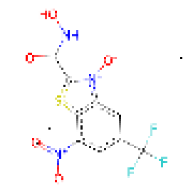 O=C(NO)c1sc2c([N+](=O)[O-])cc(C(F)(F)F)cc2[n+]1[O-]